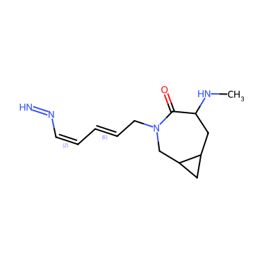 CNC1CC2CC2CN(C/C=C/C=C\N=N)C1=O